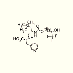 CC(C)(C)OC(=O)N[C@H](CN[C@@H](Cc1cccnc1)C(=O)O)C[Si](C)(C)C.O=C(O)C(F)(F)F